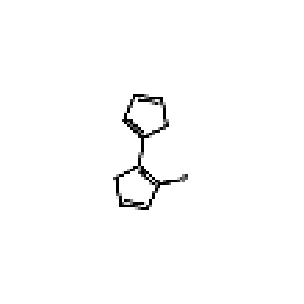 FC1=C(C2=CC=CC2)CC=C1